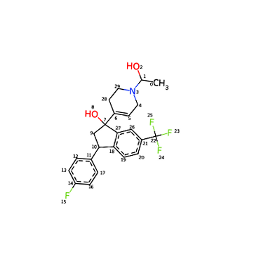 CC(O)N1CC=C(C2(O)CC(c3ccc(F)cc3)c3ccc(C(F)(F)F)cc32)CC1